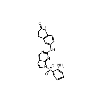 Nc1ccccc1S(=O)(=O)n1ccc2cnc(Nc3ccc4c(c3)CCC(=O)N4)nc21